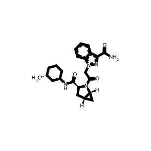 C[C@@H]1CCCC(NC(=O)[C@@H]2C[C@H]3C[C@H]3N2C(=O)Cn2nc(C(N)=O)c3ccccc32)C1